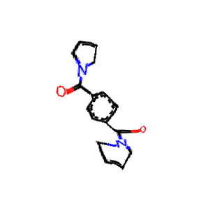 O=C(c1ccc(C(=O)N2CC=CC2)cc1)N1CC=CC1